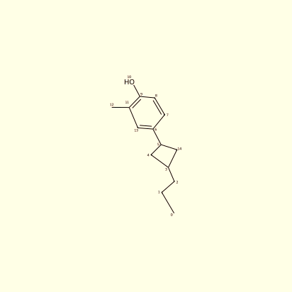 CCCC1CC(c2ccc(O)c(C)c2)C1